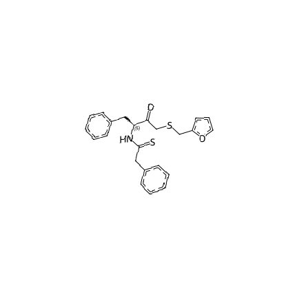 O=C(CSCc1ccco1)[C@H](Cc1ccccc1)NC(=S)Cc1ccccc1